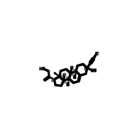 C=C(CO)[C@H]1CC[C@H]2[C@@H]3CC=C4C[C@@](O)(C#CCl)CC[C@@H]4[C@H]3CC[C@]12C